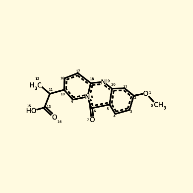 COc1ccc2c(=O)n3cc(C(C)C(=O)O)ccc3nc2c1